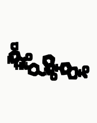 CC(=O)N1CCc2cc(-n3c(=O)n(CC4CCC(NC(=O)c5cc(Cl)cnc5C)CC4)c4ccccc43)ccc2C1